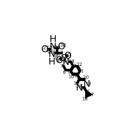 C[C@]1(CS(=O)(=O)N2CCc3cc(-c4cnc(C5CC5)nc4)ccc3C2)NC(=O)NC1=O